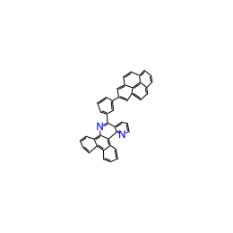 c1cc(-c2cc3ccc4cccc5ccc(c2)c3c45)cc(-c2nc3c4ccccc4c4ccccc4c3c3ncccc23)c1